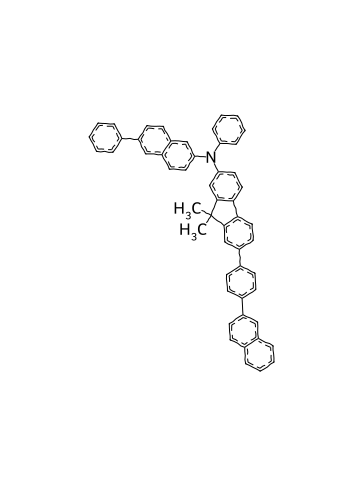 CC1(C)c2cc(-c3ccc(-c4ccc5ccccc5c4)cc3)ccc2-c2ccc(N(c3ccccc3)c3ccc4cc(-c5ccccc5)ccc4c3)cc21